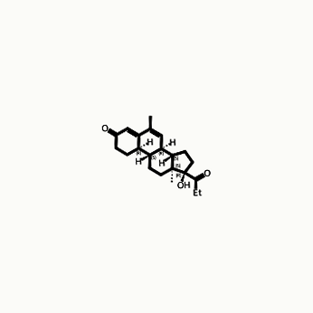 CCC(=O)[C@@]1(O)CC[C@H]2[C@@H]3C=C(C)C4=CC(=O)CC[C@@H]4[C@H]3CC[C@@]21C